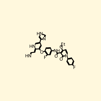 CCOc1ccn(-c2ccc(F)cc2)c(=O)c1C(=O)Nc1ccc(OC2=CC(c3c[nH]cn3)=CN/C2=C\C=N)c(F)c1